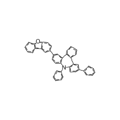 c1ccc(-c2ccc3c(c2)-c2ccccc2-c2cc(-c4ccc5oc6ccccc6c5c4)ccc2N3c2ccccc2)cc1